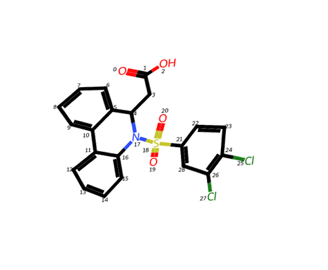 O=C(O)CC1c2ccccc2-c2ccccc2N1S(=O)(=O)c1ccc(Cl)c(Cl)c1